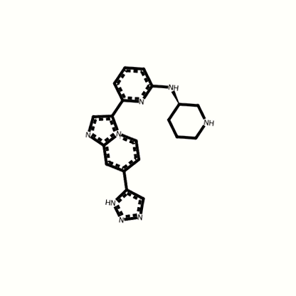 c1cc(N[C@@H]2CCCNC2)nc(-c2cnc3cc(-c4cnn[nH]4)ccn23)c1